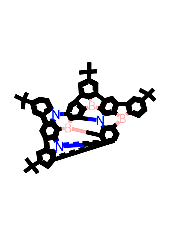 CC(C)(C)c1ccc2c(c1)-c1cc3c4c5c1B2c1cc2c6cc(C(C)(C)C)cc7c8cc9c%10cc(C(C)(C)C)ccc%10n%10c9c9c8n(c2c2c1N5c1c5c(cc-%10c1B29)-c1cc(C(C)(C)C)cc-3c1B45)c67